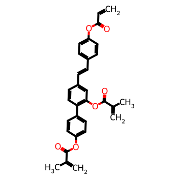 C=CC(=O)Oc1ccc(/C=C/c2ccc(-c3ccc(OC(=O)C(=C)C)cc3)c(OC(=O)C(=C)C)c2)cc1